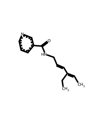 C/C=C(/C=C/CNC(=O)c1cccnc1)CC